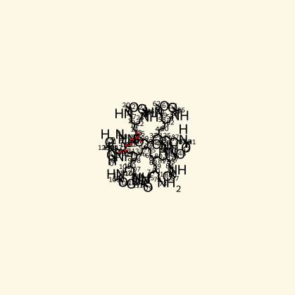 CC(=O)NCCC(CCN)CCC(CCC(CCNC(C)=O)CCNC(C)=O)CCC(CCC(CCC(CCNC(C)=O)CCNC(C)=O)CCC(CCNC(C)=O)CCNC(C)=O)C(CCC(CCC(CCN)CCNC(C)=O)CCC(CCNC(C)=O)CCNC(C)=O)CCC(CCC(CCNC(C)=O)CCNC(C)=O)CCC(CCNC(C)=O)CCNC(C)=O